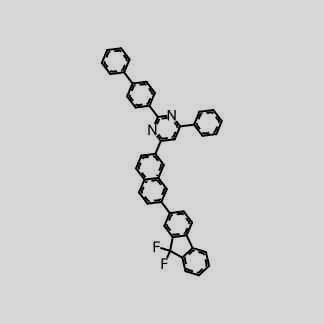 FC1(F)c2ccccc2-c2ccc(-c3ccc4ccc(-c5cc(-c6ccccc6)nc(-c6ccc(-c7ccccc7)cc6)n5)cc4c3)cc21